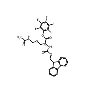 CC(=O)NCSC[C@H](NC(=O)OCC1c2ccccc2-c2ccccc21)C(=O)Oc1c(F)c(F)c(F)c(F)c1F